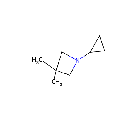 CC1(C)CN(C2CC2)C1